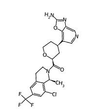 C[C@H]1c2c(Cl)cc(C(F)(F)F)cc2CCN1C(=O)[C@@H]1C[C@H](c2cncc3nc(N)oc23)CCO1